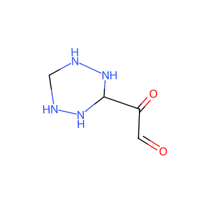 O=CC(=O)C1NNCNN1